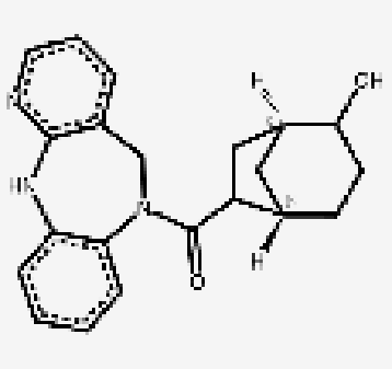 O=C(C1C[C@@H]2C[C@@H]1CCC2O)N1Cc2cccnc2Nc2ccccc21